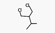 CC(C)C(CCl)CCl